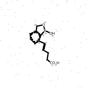 O=C(O)CCC=Cc1cccc2c1B(O)OC2